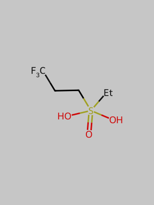 CCS(=O)(O)(O)CCC(F)(F)F